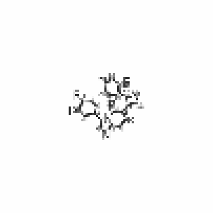 Fc1ccc(-c2cnc3ccc(C4=CN=C4c4c(F)cccc4F)cn23)cc1F